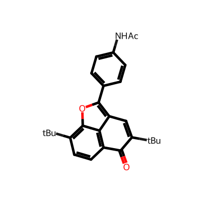 CC(=O)Nc1ccc(-c2oc3c(C(C)(C)C)ccc4c3c2C=C(C(C)(C)C)C4=O)cc1